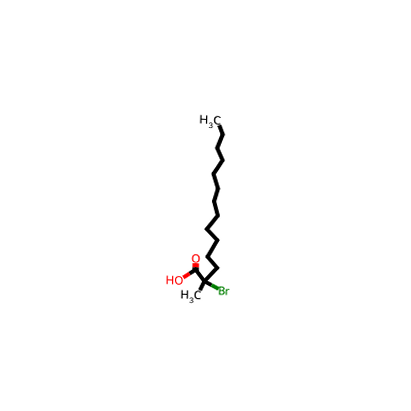 CCCCCCCCCCCCC(C)(Br)C(=O)O